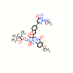 CNc1nc(-c2ccc3oc([C@]4(CN5Cc6ccc(OC)c(F)c6C5=O)NC(=O)N(COC(=O)C(C)(C)C)C4=O)cc3c2)cc(=O)[nH]1